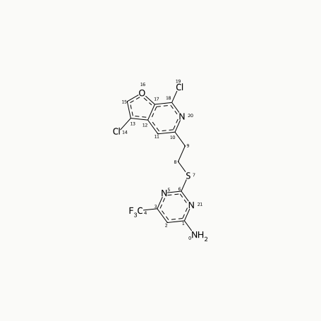 Nc1cc(C(F)(F)F)nc(SCCc2cc3c(Cl)coc3c(Cl)n2)n1